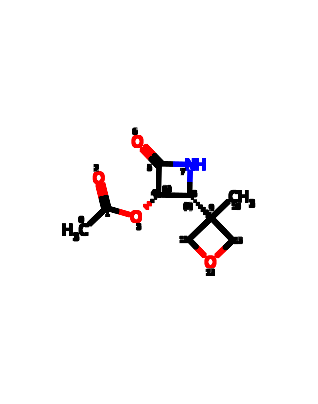 CC(=O)O[C@@H]1C(=O)N[C@@H]1C1(C)COC1